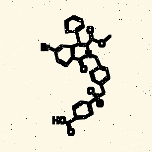 COC(=O)c1c(-c2ccccc2)c2cc(Br)ccc2c(=O)n1Cc1ccc(CS(=O)(=O)c2ccc(C(=O)O)cc2)cc1